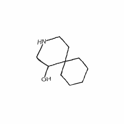 OC1CNCCC12CCCCC2